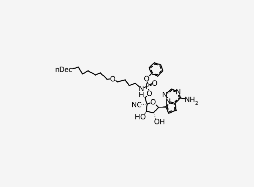 CCCCCCCCCCCCCCCCOCCCCNP(=O)(OC[C@@]1(C#N)O[C@@H](c2ccc3c(N)ncnn23)[C@H](O)[C@@H]1O)Oc1ccccc1